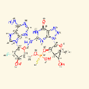 Nc1nc2c(nnn2[C@@H]2O[C@@H]3C(O)C3[C@H]2OP(O)(=S)OC[C@H]2O[C@@H](n3cnc4c(N)ncnc43)[C@@H](F)[C@@H]2O)c(=O)[nH]1